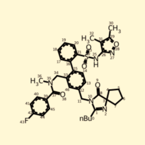 CCCCC1=NC2(CCCC2)C(=O)N1Cc1ccc(-c2ccccc2S(=O)(=O)Nc2noc(C)c2C)c(CN(C)C(=O)c2ccc(F)cc2)c1